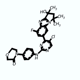 CC1(O)CC(C)(C)n2c1nc1c(F)cc(-c3nc(Nc4ccc(N5CCOCC5=O)cc4)ncc3Cl)cc12